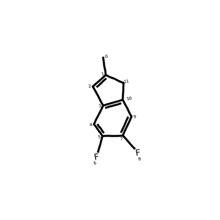 CC1=Cc2cc(F)c(F)cc2C1